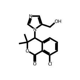 CC1(C)OC(=O)c2c(Cl)cccc2C1n1cncc1CO